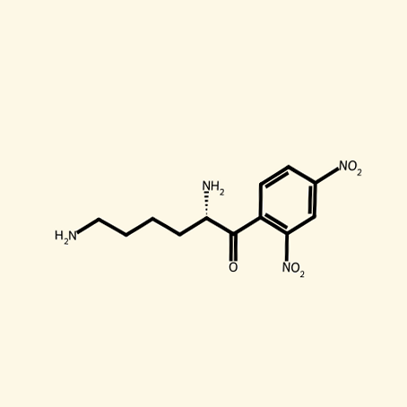 NCCCC[C@H](N)C(=O)c1ccc([N+](=O)[O-])cc1[N+](=O)[O-]